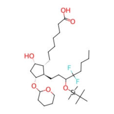 CCCCC(F)(F)C(CC[C@@H]1[C@@H](CCCCCCC(=O)O)[C@@H](O)C[C@H]1OC1CCCCO1)O[Si](C)(C)C(C)(C)C